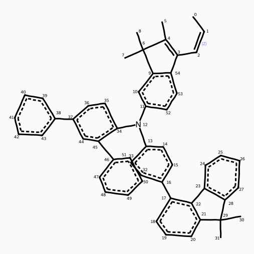 C/C=C\C1=C(C)C(C)(C)c2cc(N(c3ccc(-c4cccc5c4-c4ccccc4C5(C)C)cc3)c3ccc(-c4ccccc4)cc3-c3ccccc3)ccc21